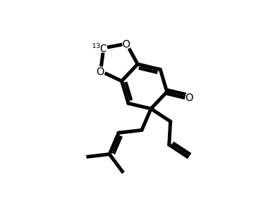 C=CCC1(CC=C(C)C)C=C2O[13CH2]OC2=CC1=O